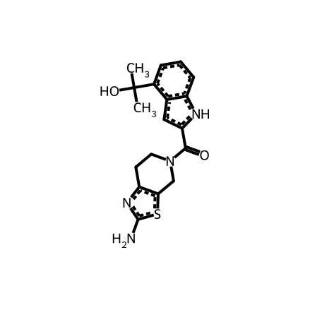 CC(C)(O)c1cccc2[nH]c(C(=O)N3CCc4nc(N)sc4C3)cc12